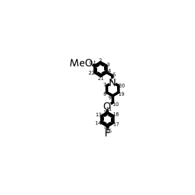 COc1ccc(CN2CCC(COc3ccc(F)cc3)CC2)cc1